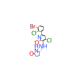 COc1nc(-c2cccc(Br)c2Cl)cc(Cl)c1CNC[C@@H]1CCC(=O)N1